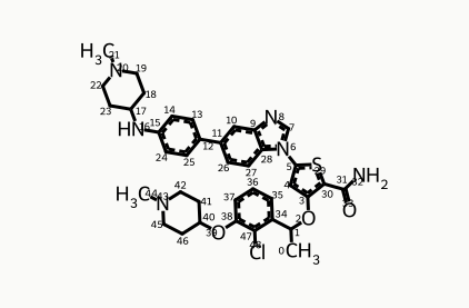 CC(Oc1cc(-n2cnc3cc(-c4ccc(NC5CCN(C)CC5)cc4)ccc32)sc1C(N)=O)c1cccc(OC2CCN(C)CC2)c1Cl